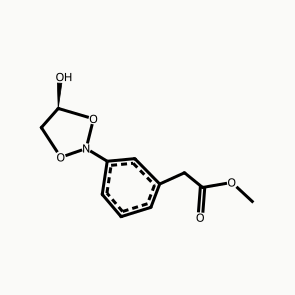 COC(=O)Cc1cccc(N2OC[C@@H](O)O2)c1